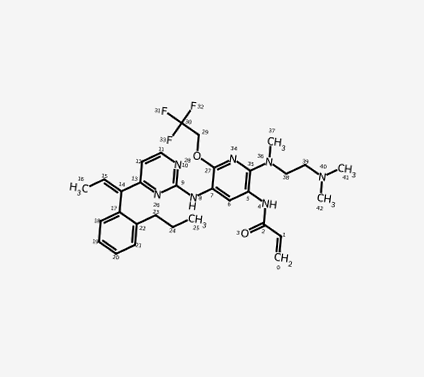 C=CC(=O)Nc1cc(Nc2nccc(/C(=C/C)c3ccccc3CCC)n2)c(OCC(F)(F)F)nc1N(C)CCN(C)C